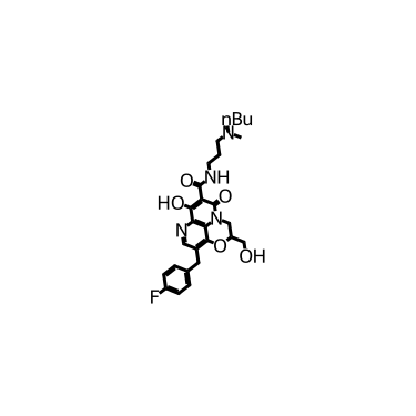 CCCCN(C)CCCNC(=O)c1c(O)c2ncc(Cc3ccc(F)cc3)c3c2n(c1=O)CC(CO)O3